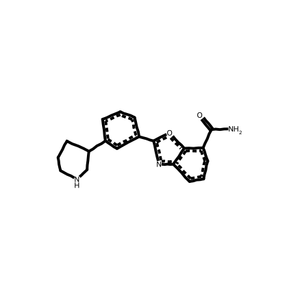 NC(=O)c1cccc2nc(-c3cccc(C4CCCNC4)c3)oc12